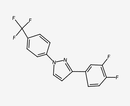 Fc1ccc(-c2ccn(-c3ccc(C(F)(F)F)cc3)n2)cc1F